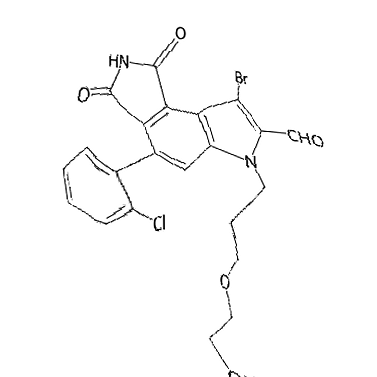 COCCOCCCn1c(C=O)c(Br)c2c3c(c(-c4ccccc4Cl)cc21)C(=O)NC3=O